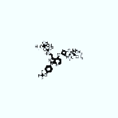 CC(C)(C)OC(=O)NCc1nn(-c2ccc(OC(F)(F)F)cc2)c2nccc(O[C@H]3C[C@@H](O[Si](C)(C)C(C)(C)C)C3)c12